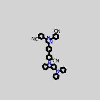 N#Cc1cccc(-c2cc(-c3ccc(-c4ccc(-n5c6ccccc6c6cc(N(c7ccccc7)c7ccccc7)ccc65)c(C#N)c4)cc3)nc(-c3cccc(C#N)c3)n2)c1